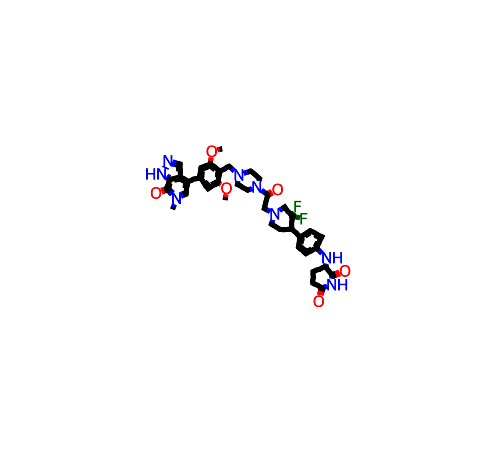 COc1cc(-c2cn(C)c(=O)c3[nH]ncc23)cc(OC)c1CN1CCN(C(=O)CN2CCC(c3ccc(NC4CCC(=O)NC4=O)cc3)C(F)(F)C2)CC1